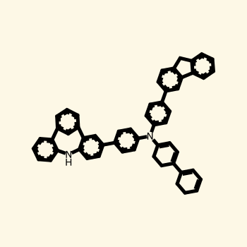 C1=CCCC(C2=CC=C(N(c3ccc(-c4ccc5c(c4)-c4ccccc4C5)cc3)c3ccc(-c4ccc5c(c4)-c4cccc(c4)-c4ccccc4N5)cc3)CC2)=C1